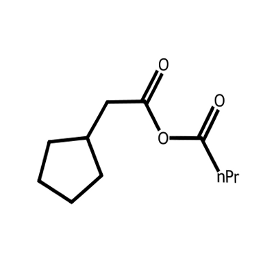 [CH2]CCC(=O)OC(=O)CC1CCCC1